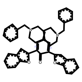 O=C(/C(=C\C1CCN(Cc2ccccc2)CC1)c1cc2ccccc2o1)/C(=C\C1CCN(Cc2ccccc2)CC1)c1cc2ccccc2o1